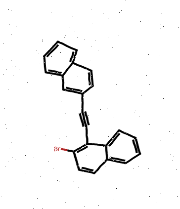 Brc1ccc2ccccc2c1C#Cc1ccc2ccccc2c1